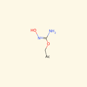 CC(=O)COC(N)=NO